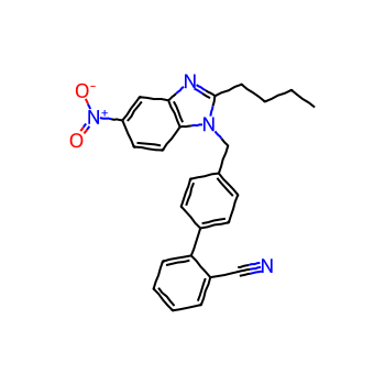 CCCCc1nc2cc([N+](=O)[O-])ccc2n1Cc1ccc(-c2ccccc2C#N)cc1